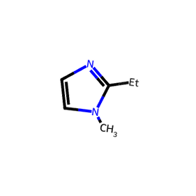 [CH2]Cc1nccn1C